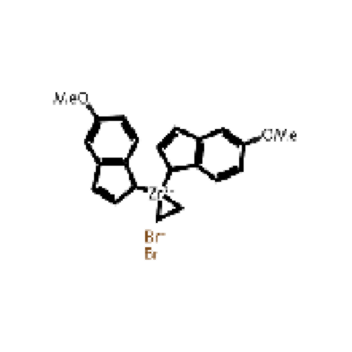 COc1ccc2c(c1)C=C[CH]2[Zr+2]1([CH]2C=Cc3cc(OC)ccc32)[CH2][CH2]1.[Br-].[Br-]